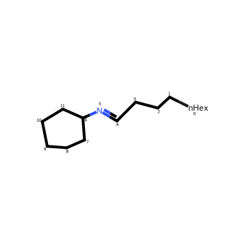 CCCCCCCCCC=NC1CCCCC1